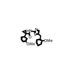 COc1cccc(C2(C(=O)Nc3ncc(Cc4ccccc4OC)s3)CC2)c1